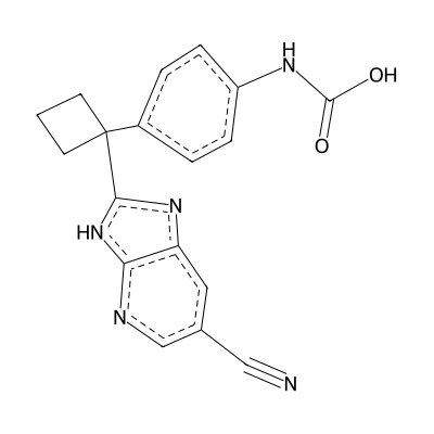 N#Cc1cnc2[nH]c(C3(c4ccc(NC(=O)O)cc4)CCC3)nc2c1